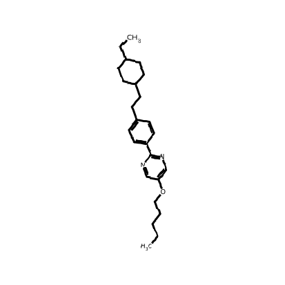 CCCCCOc1cnc(-c2ccc(CCC3CCC(CC)CC3)cc2)nc1